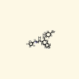 Brc1ccc(Nc2nc3nonc3nc2N/N=C/c2ccco2)cc1